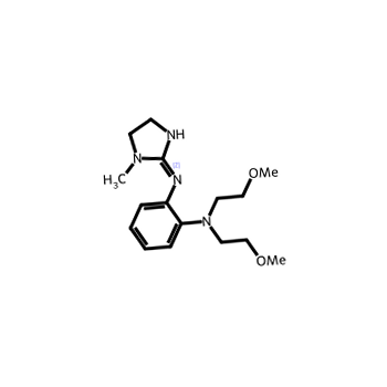 COCCN(CCOC)c1ccccc1/N=C1/NCCN1C